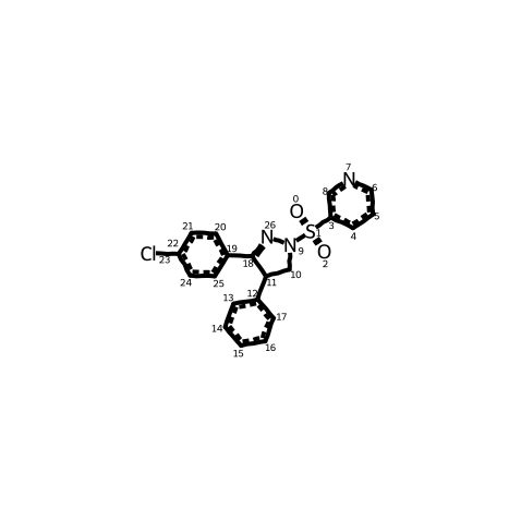 O=S(=O)(c1cccnc1)N1CC(c2ccccc2)C(c2ccc(Cl)cc2)=N1